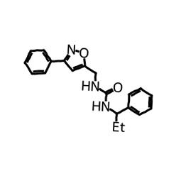 CCC(NC(=O)NCc1cc(-c2ccccc2)no1)c1ccccc1